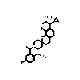 CC(c1cc(F)ccc1OC(F)(F)F)N1CCC2(CCc3ccc(C(C4CC4)[C@H](C)C(=O)O)c(F)c3O2)CC1